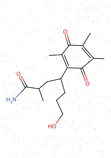 CC1=C(C)C(=O)C(C(CCCO)CC(C)C(N)=O)=C(C)C1=O